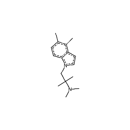 Cc1ccc2c(ccn2CC(C)(C)N(C)C)c1C